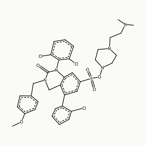 COc1ccc(CN2Cc3c(-c4ccccc4Cl)cc(S(=O)(=O)ON4CCN(CCN(C)C)CC4)cc3N(c3c(Cl)cccc3Cl)C2=O)cc1